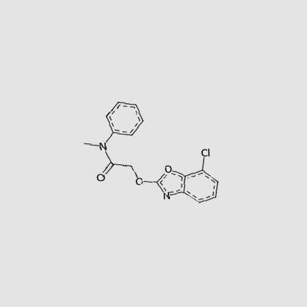 CN(C(=O)COc1nc2cccc(Cl)c2o1)c1ccccc1